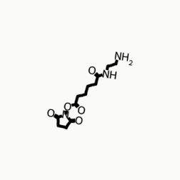 NCCNC(=O)CCCCC(=O)ON1C(=O)CCC1=O